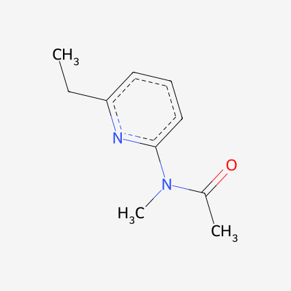 CCc1cccc(N(C)C(C)=O)n1